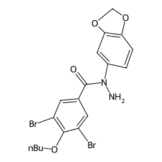 CCCCOc1c(Br)cc(C(=O)N(N)c2ccc3c(c2)OCO3)cc1Br